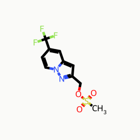 CS(=O)(=O)OCc1cc2cc(C(F)(F)F)ccn2n1